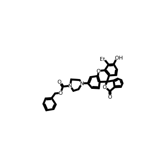 CCc1c(O)ccc2c1Oc1cc(N3CCN(C(=O)OCc4ccccc4)CC3)ccc1C21OC(=O)c2ccccc21